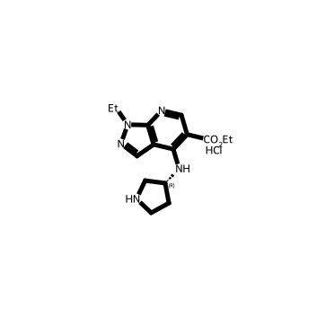 CCOC(=O)c1cnc2c(cnn2CC)c1N[C@@H]1CCNC1.Cl